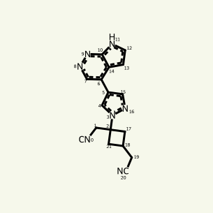 [C-]#[N+]CC1(n2cc(-c3cnnc4[nH]ccc34)cn2)CC(CC#N)C1